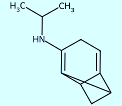 CC(C)NC1=C2C3CC2C3=CC1